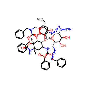 CC(=O)OC[C@H]1O[C@@H](O[C@H]2[C@H](O[C@H]3O[C@H](CN(Cc4ccccc4)C(=O)OCc4ccccc4)CC[C@H]3N=[N+]=[N-])[C@@H](NC(=O)OCc3ccccc3)[C@H](OCc3ccccc3)[C@H]3NC(=O)O[C@@H]32)[C@H](OC(C)=O)[C@@H]1O[C@H]1O[C@@H](CN=[N+]=[N-])[C@H](O)[C@H](O)[C@H]1N=[N+]=[N-]